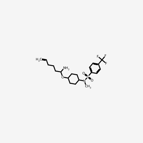 C=CCCCC(N)OC1CCC(N(C)S(=O)(=O)c2ccc(C(F)(F)F)cc2)CC1